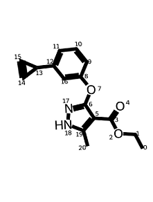 CCOC(=O)c1c(Oc2cccc(C3C#C3)c2)n[nH]c1C